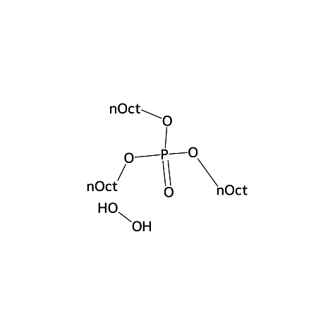 CCCCCCCCOP(=O)(OCCCCCCCC)OCCCCCCCC.OO